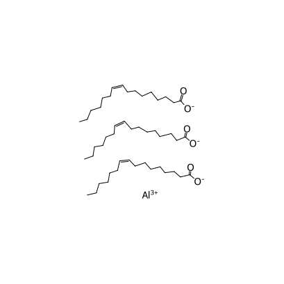 CCCCCC/C=C\CCCCCCCC(=O)[O-].CCCCCC/C=C\CCCCCCCC(=O)[O-].CCCCCC/C=C\CCCCCCCC(=O)[O-].[Al+3]